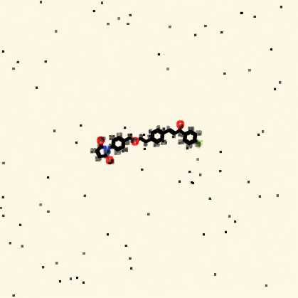 O=C(C=Cc1ccc(CCOCc2ccc(N3C(=O)C=CC3=O)cc2)cc1)c1ccc(F)cc1